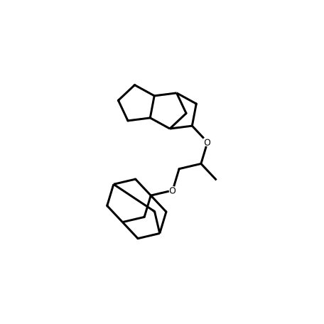 CC(COC12CC3CC(CC(C3)C1)C2)OC1CC2CC1C1CCCC21